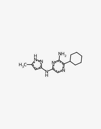 Cc1cc(Nc2cnc(C3CCCCC3)c(N)n2)n[nH]1